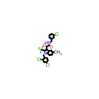 Cc1ccc2c(c1)c(C(=O)C(=O)NCc1cccc(Cl)c1)c(C(F)(F)F)n2Cc1ccc(Cl)cc1Cl